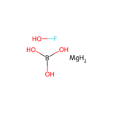 OB(O)O.OF.[MgH2]